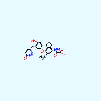 Cc1cc(NC(=O)C(=O)O)c2c(c1Oc1ccc(O)c(Cc3ccc(=O)[nH]n3)c1)CCC2